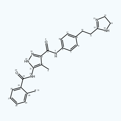 Cc1c(C(=O)Nc2ccc(CCC3=NCCN3)cc2)n[nH]c1NC(=O)c1ccccc1F